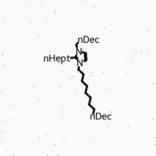 CCCCCCCCCCCCCCCCCC[n+]1ccn(CCCCCCCCCCC)c1CCCCCCC